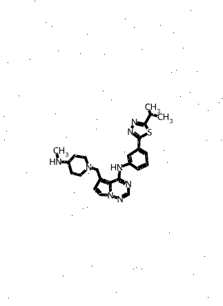 CNC1CCN(Cc2ccn3ncnc(Nc4cccc(-c5nnc(C(C)C)s5)c4)c23)CC1